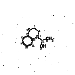 [CH2]C(O)N1CCSc2ccccc21